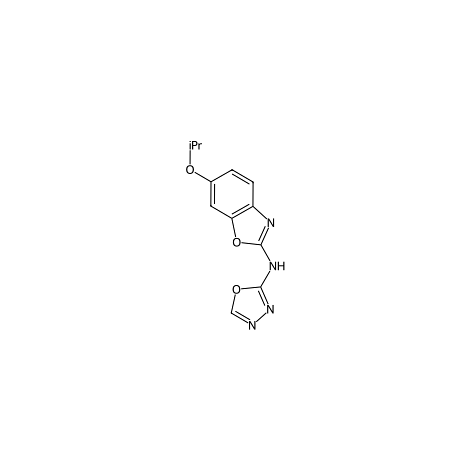 CC(C)Oc1ccc2nc(Nc3nnco3)oc2c1